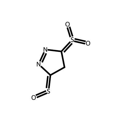 O=S=C1CC(=S(=O)=O)N=N1